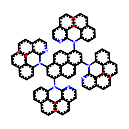 c1ccc2c(N(c3nccc4ccccc34)c3cc(N(c4cccc5ccccc45)c4nccc5ccccc45)c4ccc5c(N(c6cccc7ccccc67)c6nccc7ccccc67)cc(N(c6cccc7ccccc67)c6nccc7ccccc67)c6ccc3c4c65)cccc2c1